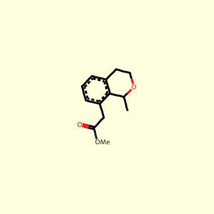 COC(=O)Cc1cccc2c1C(C)OCC2